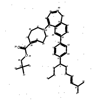 CCCC(CC/C=C/C(C)C)c1ccc(-c2ccc3c(c2)C(N2CC/C=C(\C(=O)OCC(C)(C)C)CCC2)=CC=NC3)cc1